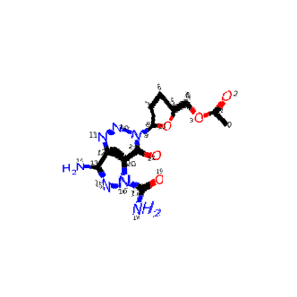 CC(=O)OCC1[CH][CH]C(n2nnc3c(N)nn(C(N)=O)c3c2=O)O1